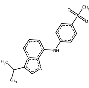 CC(C)c1cnc2c(Nc3ccc(S(C)(=O)=O)cc3)cccn12